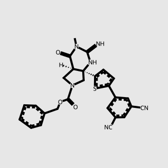 CN1C(=N)N[C@@]2(c3ccc(-c4cc(C#N)cc(C#N)c4)s3)CN(C(=O)OCc3ccccc3)C[C@H]2C1=O